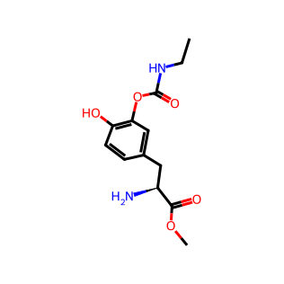 CCNC(=O)Oc1cc(C[C@H](N)C(=O)OC)ccc1O